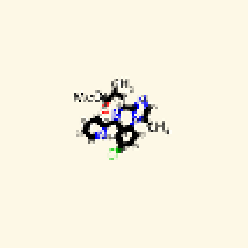 COC(=O)C(C)C[C@@H]1N=C(c2ccccn2)c2cc(Cl)ccc2-n2c(C)cnc21